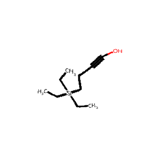 CC[Si](CC)(CC)CCC#CO